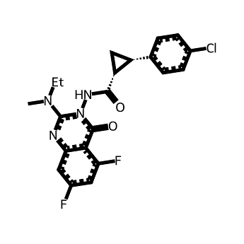 CCN(C)c1nc2cc(F)cc(F)c2c(=O)n1NC(=O)[C@@H]1C[C@@H]1c1ccc(Cl)cc1